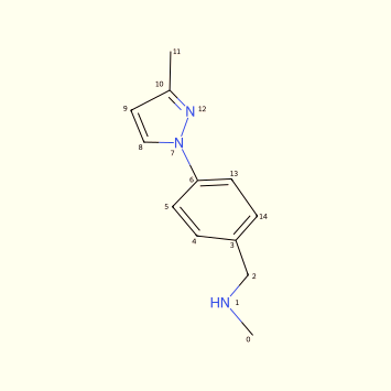 CNCc1ccc(-n2ccc(C)n2)cc1